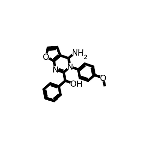 COc1ccc(N2C(C(O)c3ccccc3)=Nc3occc3C2N)cc1